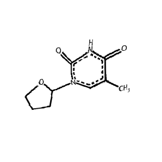 Cc1cn(C2CCCO2)c(=O)[nH]c1=O